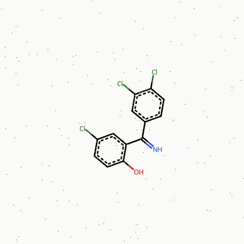 N=C(c1ccc(Cl)c(Cl)c1)c1cc(Cl)ccc1O